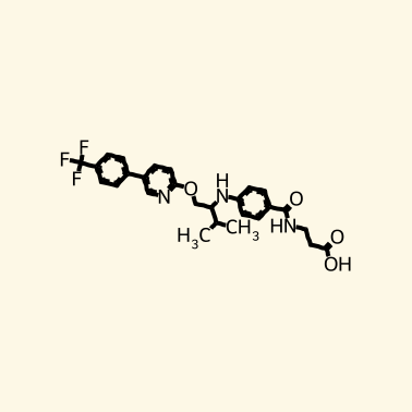 CC(C)C(COc1ccc(-c2ccc(C(F)(F)F)cc2)cn1)Nc1ccc(C(=O)NCCC(=O)O)cc1